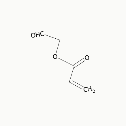 C=CC(=O)OCC=O